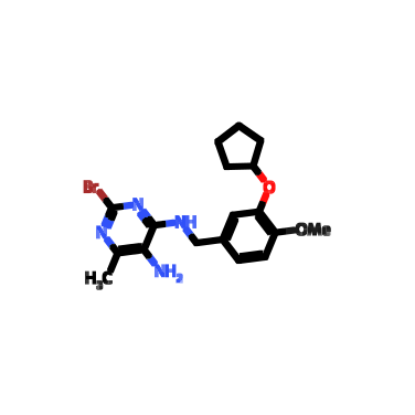 COc1ccc(CNc2nc(Br)nc(C)c2N)cc1OC1CCCC1